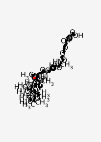 CC[C@H](C)[C@@H]([C@@H](CC(=O)N1CCC[C@H]1[C@H](OC)[C@@H](C)C(=O)N[C@H](/C=C/C(=O)NOCc1ccc(NC(=O)[C@@H](C)NC(=O)CCOCCOCCC(=O)N2CCC(C(=O)O)CC2)cc1)CC(C)C)OC)N(C)C(=O)[C@@H](NC(=O)C(C(C)C)N(C)C)C(C)C